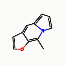 Cc1c2occc2cc2cccn12